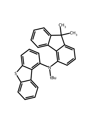 CC1(C)c2ccccc2-c2c(N(c3cccc4sc5ccccc5c34)C(C)(C)C)cccc21